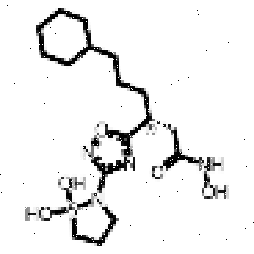 O=C(C[C@@H](CCCC1CCCCC1)c1nc(N2CCCS2(O)O)no1)NO